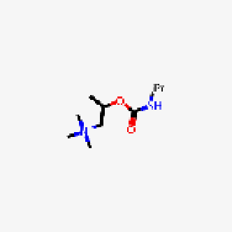 CC(C)NC(=O)OC(C)C[N+](C)(C)C